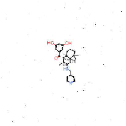 C[C@@H]1[C@H](NCc2ccncc2)C[C@H]2C(C)(C)CCC[C@]2(C)[C@H]1C(=O)c1cc(O)cc(O)c1